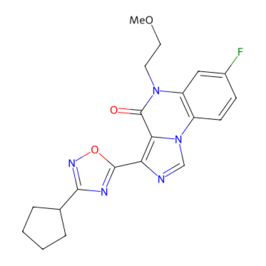 COCCn1c(=O)c2c(-c3nc(C4CCCC4)no3)ncn2c2ccc(F)cc21